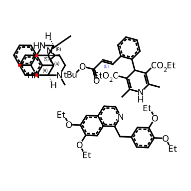 CCOC(=O)C1=C(C)NC(C)=C(C(=O)OCC)C1c1ccccc1/C=C/C(=O)OC(C)(C)C.CCOc1ccc(Cc2nccc3cc(OCC)c(OCC)cc23)cc1OCC.CN1CC[C@]23c4ccccc4N[C@H]1[C@]21CCN(C)[C@H]3Nc2ccccc21